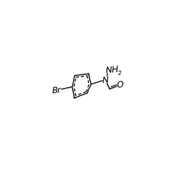 NN(C=O)c1ccc(Br)cc1